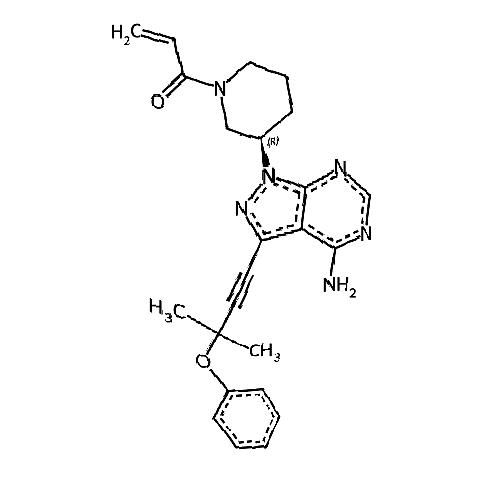 C=CC(=O)N1CCC[C@@H](n2nc(C#CC(C)(C)Oc3ccccc3)c3c(N)ncnc32)C1